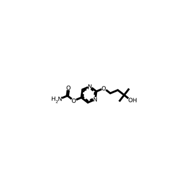 CC(C)(O)CCOc1ncc(OC(N)=O)cn1